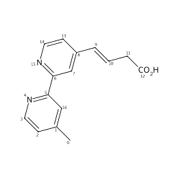 Cc1ccnc(-c2cc(C=CCC(=O)O)ccn2)c1